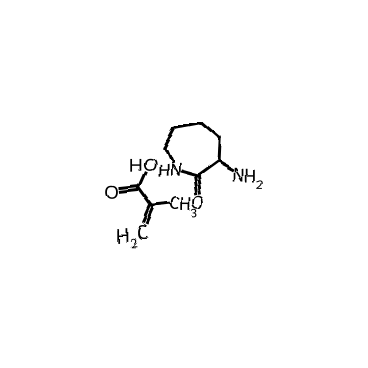 C=C(C)C(=O)O.NC1CCCCNC1=O